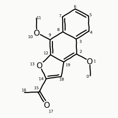 COc1c2ccccc2c(OC)c2oc(C(C)=O)cc12